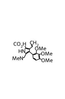 C=Cc1c(C(=O)O)[nH]c(CNC)c1-c1ccc(OC)c(OC)c1OC